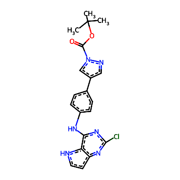 CC(C)(C)OC(=O)n1cc(-c2ccc(Nc3nc(Cl)nc4cc[nH]c34)cc2)cn1